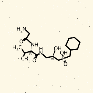 CC(C)[C@H](NC(=O)CN)C(=O)NC[C@@H](O)CP(=O)(O)CC1CCCCC1